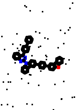 c1ccc(-c2ccc(-c3nc(-n4c5ccccc5c5cc(-c6ccc(-c7ccc8oc9ccccc9c8c7)cc6)ccc54)nc4ccccc34)cc2)cc1